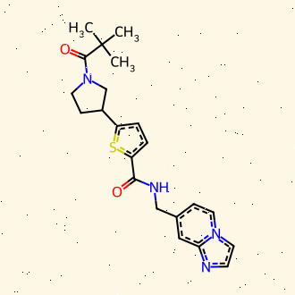 CC(C)(C)C(=O)N1CCC(c2ccc(C(=O)NCc3ccn4ccnc4c3)s2)C1